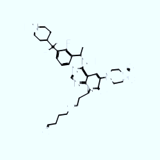 CC(Nc1ncnc2c1cc(N1CCS(=O)(=O)CC1)c(=O)n2CCCOCCCC=O)c1cccc(C(F)(F)C2CCNCC2)c1F